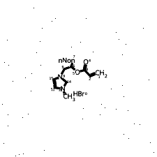 Br.C=CC(=O)OC(CCCCCCCCC)CN1C=CN(C)C1